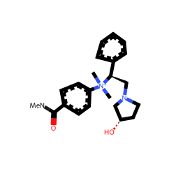 CNC(=O)c1ccc([N+](C)(C)[C@H](CN2CC[C@H](O)C2)c2ccccc2)cc1